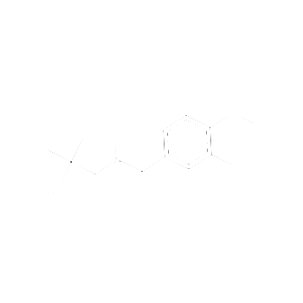 CCOC(=O)C(C)(C)CNCc1ccc(OC(F)(F)F)c(Cl)c1